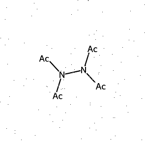 CC(=O)N(C(C)=O)N(C(C)=O)C(C)=O